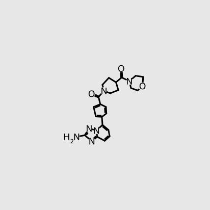 Nc1nc2cccc(-c3ccc(C(=O)N4CCC(C(=O)N5CCOCC5)CC4)cc3)n2n1